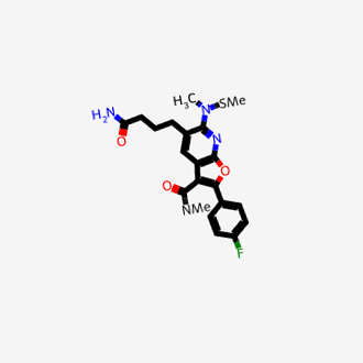 CNC(=O)c1c(-c2ccc(F)cc2)oc2nc(N(C)SC)c(CCCC(N)=O)cc12